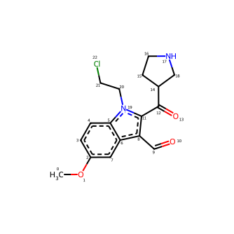 COc1ccc2c(c1)c(C=O)c(C(=O)C1CCNC1)n2CCCl